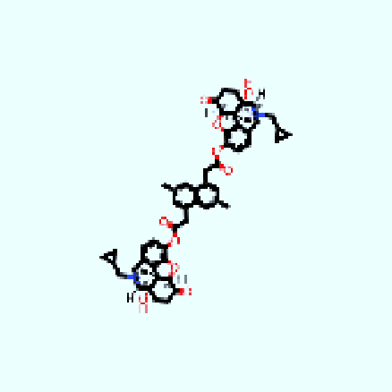 Cc1cc(CC(=O)Oc2ccc3c4c2O[C@H]2C(=O)CC[C@@]5(O)[C@@H](C3)N(CC3CC3)CC[C@]425)c2cc(C)cc(CC(=O)Oc3ccc4c5c3O[C@H]3C(=O)CC[C@@]6(O)[C@@H](C4)N(CC4CC4)CC[C@]536)c2c1